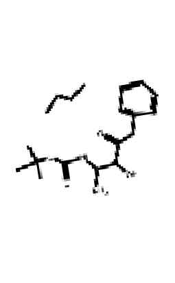 CC(C)(C)OC(=O)NC(N)C(O)C(=O)Cc1ccccc1.CCCC